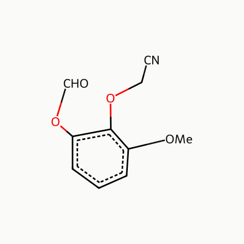 COc1cccc(OC=O)c1OCC#N